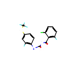 CN(C(=O)NC(=O)c1c(F)cccc1Cl)c1ccc(SC(F)(F)F)cc1F